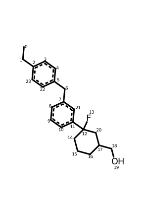 CCc1ccc(Cc2cccc(C3(F)CCCC(CO)C3)c2)cc1